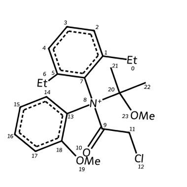 CCc1cccc(CC)c1[N+](C(=O)CCl)(c1ccccc1OC)C(C)(C)OC